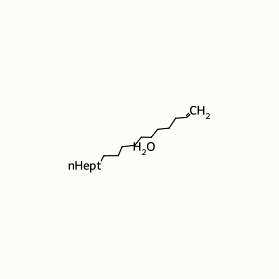 C=CCCCCCCCCCCCCCCCC.O